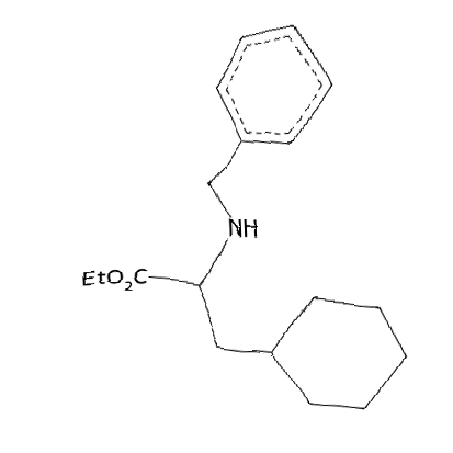 CCOC(=O)C(CC1CCCCC1)NCc1ccccc1